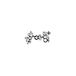 COC[C@H](c1ccc2oc([C@@H](NC(=O)OC(C)(C)C)[C@H]3CCCC(F)(F)C3)nc2c1)N1C[C@@H](C(F)(F)F)NC1=O